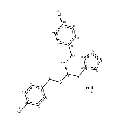 Cl.Clc1ccc(CSC(Cn2ccnc2)SCc2ccc(Cl)cc2)cc1